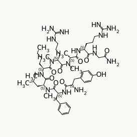 CCCC[C@H](NC(=O)[C@H](CC(C)C)N(C)C(=O)[C@H](Cc1ccccc1)NC(=O)[C@@H](N)Cc1ccc(O)cc1)C(=O)N(C)[C@@H](CCCNC(=N)N)C(=O)N(C)[C@@H](C)C(=O)N[C@@H](CCCNC(=N)N)C(=O)NCC(N)=O